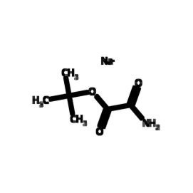 CC(C)(C)OC(=O)C(N)=O.[Na]